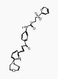 O=C(Nc1ccc(C(=O)/C=C/c2cccc(N3CCOCC3)n2)cc1)OCCS(=O)(=O)c1ccccn1